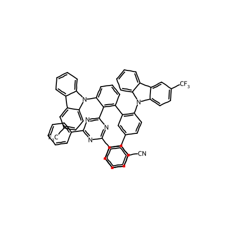 N#Cc1ccccc1-c1ccc(-n2c3ccccc3c3cc(C(F)(F)F)ccc32)c(-c2cccc(-n3c4ccccc4c4cc(C(F)(F)F)ccc43)c2-c2nc(-c3ccccc3)nc(-c3ccccc3)n2)c1